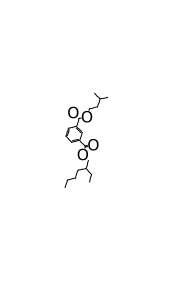 CCCCC(CC)COC(=O)c1cccc(C(=O)OCCC(C)C)c1